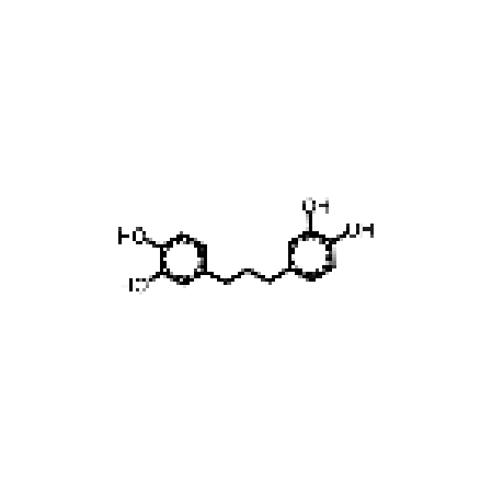 Oc1ccc(CCCc2ccc(O)c(O)c2)cc1O